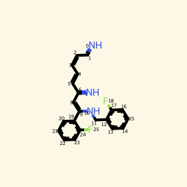 N=C/C=C\C=C\C(=N)/C=C(\NCc1ccccc1F)c1ccccc1F